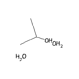 CC(C)O.O.O